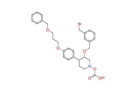 O=C(O)ON1CCC(c2ccc(OCCCOCc3ccccc3)cc2)C(OCc2cccc(CBr)c2)C1